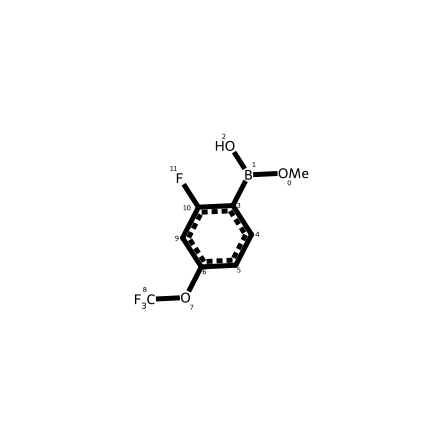 COB(O)c1ccc(OC(F)(F)F)cc1F